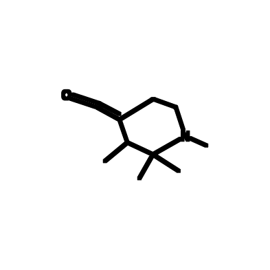 CC1C(=C=O)CCN(C)C1(C)C